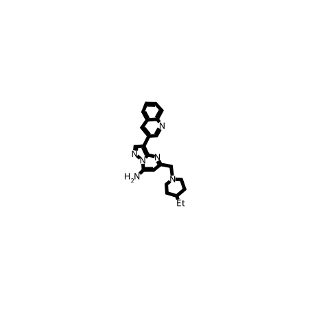 CCC1CCN(Cc2cc(N)n3ncc(-c4cnc5ccccc5c4)c3n2)CC1